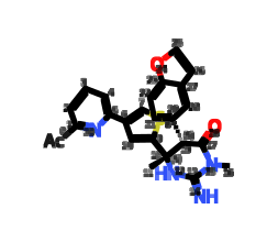 CC(=O)c1cccc(-c2csc([C@@]3(C)NC(=N)N(C)C(=O)[C@H]3c3ccc4occc4c3)c2)n1